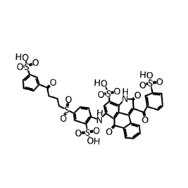 O=C(CCCS(=O)(=O)c1ccc(Nc2cc(S(=O)(=O)O)c3[nH]c(=O)c(C(=O)c4cccc(S(=O)(=O)O)c4)c4c3c2C(=O)c2ccccc2-4)c(S(=O)(=O)O)c1)c1cccc(S(=O)(=O)O)c1